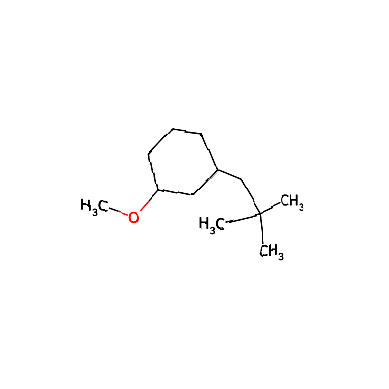 COC1CCCC(CC(C)(C)C)C1